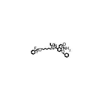 C=CCN(CCCCCCOCC(F)(F)C1C=CC=CC1)C[C@H](N=O)C1=CC=C(OCC2C=CC=CC2)C2C1C=CC(=O)N2N